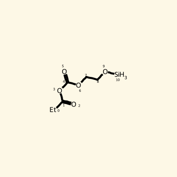 CCC(=O)OC(=O)OCCO[SiH3]